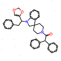 O=C(C(c1ccccc1)c1ccccc1)N1CCC2(CC1)CN(C(Cc1ccccc1)C1=COCO1)c1ccccc12